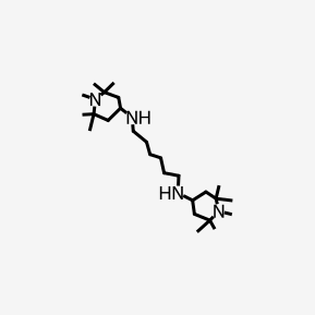 CN1C(C)(C)CC(NCCCCCCNC2CC(C)(C)N(C)C(C)(C)C2)CC1(C)C